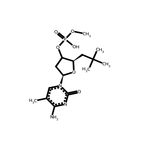 COP(=O)(O)OC1C[C@H](n2cc(C)c(N)nc2=O)O[C@@H]1CC(C)(C)C